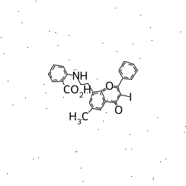 Cc1cc(CCNc2ccccc2C(=O)O)c2oc(-c3ccccc3)c(I)c(=O)c2c1